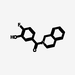 O=C(c1ccc(F)c(O)c1)N1C=Cc2ccccc2C1